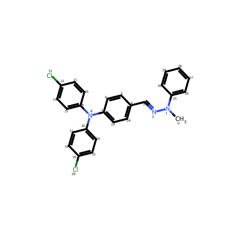 CN(N=Cc1ccc(N(c2ccc(Cl)cc2)c2ccc(Cl)cc2)cc1)c1ccccc1